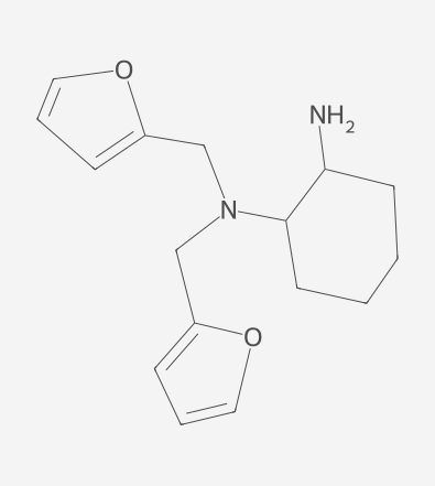 NC1CCCCC1N(Cc1ccco1)Cc1ccco1